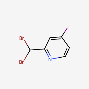 BrC(Br)c1cc(I)ccn1